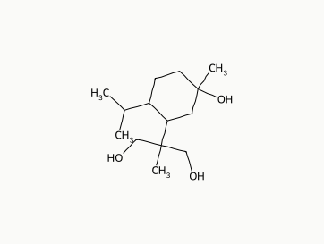 CC(C)C1CCC(C)(O)CC1C(C)(CO)CO